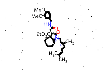 CCOC(=O)[C@@]12CCCCC/C=C\1N(C/C=C(\C)CCC=C(C)C)C(=O)[C@H]2CC(=O)NCc1ccc(OC)c(OC)c1